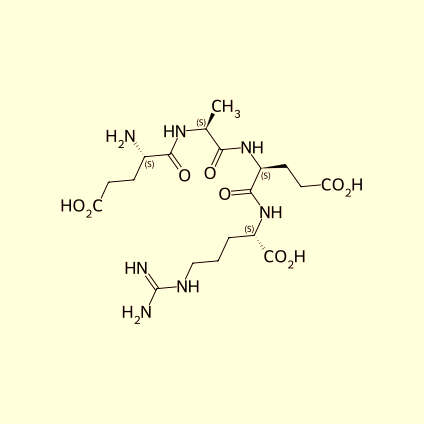 C[C@H](NC(=O)[C@@H](N)CCC(=O)O)C(=O)N[C@@H](CCC(=O)O)C(=O)N[C@@H](CCCNC(=N)N)C(=O)O